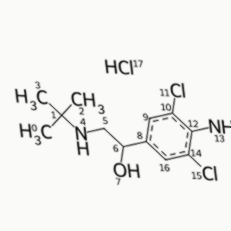 CC(C)(C)NCC(O)c1cc(Cl)c(N)c(Cl)c1.Cl